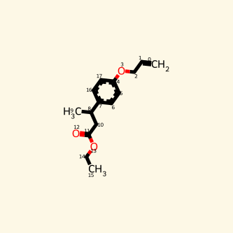 C=CCOc1ccc(C(C)CC(=O)OCC)cc1